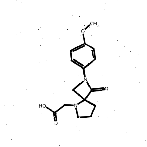 COc1ccc(N2CC3(CCCN3CC(=O)O)C2=O)cc1